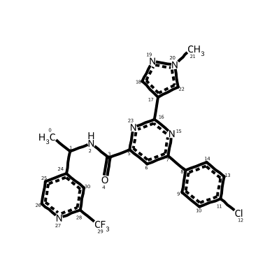 CC(NC(=O)c1cc(-c2ccc(Cl)cc2)nc(-c2cnn(C)c2)n1)c1ccnc(C(F)(F)F)c1